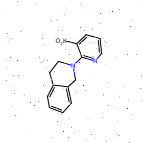 O=[N+]([O-])c1cccnc1N1CCc2ccccc2C1